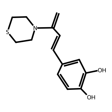 C=C(/C=C/c1ccc(O)c(O)c1)N1CCSCC1